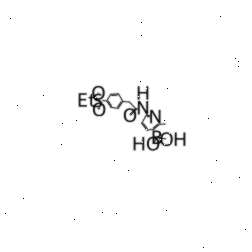 CCS(=O)(=O)c1ccc(CC(=O)Nc2ccc(B(O)O)c(C)n2)cc1